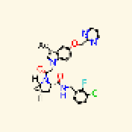 CC(=O)c1cn(CC(=O)N2[C@@H]3C[C@@H]3C[C@H]2C(=O)NCc2cccc(Cl)c2F)c2ccc(OCc3ncccn3)cc12